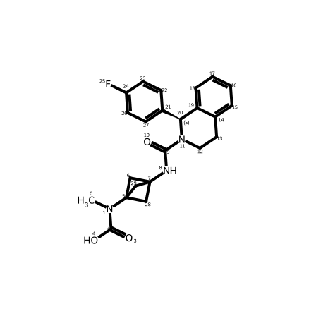 CN(C(=O)O)C12CC(NC(=O)N3CCc4ccccc4[C@@H]3c3ccc(F)cc3)(C1)C2